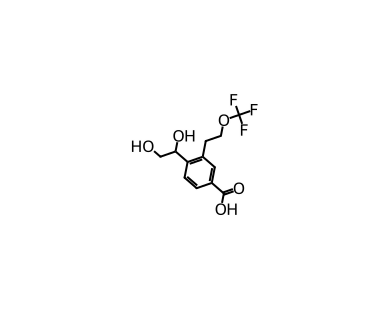 O=C(O)c1ccc(C(O)CO)c(CCOC(F)(F)F)c1